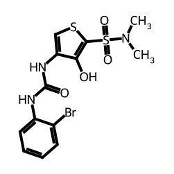 CN(C)S(=O)(=O)c1scc(NC(=O)Nc2ccccc2Br)c1O